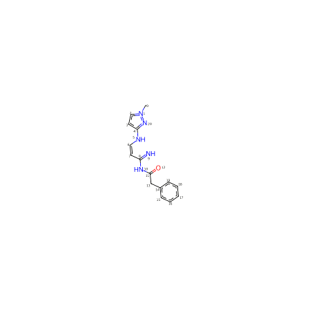 Cn1ccc(N/C=C\C(=N)NC(=O)Cc2ccccc2)n1